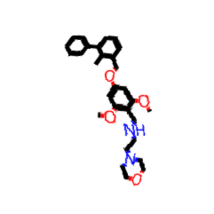 COc1cc(OCc2cccc(-c3ccccc3)c2C)cc(OC)c1CNCCN1CCOCC1